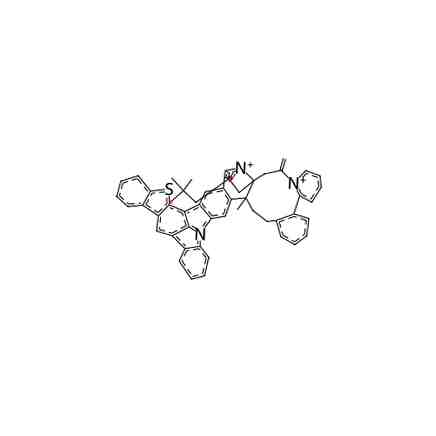 C=C1CC23Cc4cc(CC(C)(C)C)cc([n+]42)-c2cc4c5c6sc7ccccc7c6cc6c7ccccc7n(c4cc2C3(C)CCc2ccccc2-c2cccc[n+]21)c65